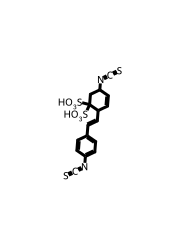 O=S(=O)(O)C1(S(=O)(=O)O)CC(N=C=S)C=CC1C=Cc1ccc(N=C=S)cc1